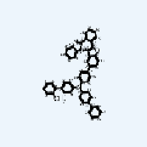 Cc1ccccc1-c1ccc(N(c2ccc(-c3ccccc3)cc2)c2ccc(-c3ccc4oc5c6ccccc6c6nc7ccccc7n6c5c4c3)cc2)cc1